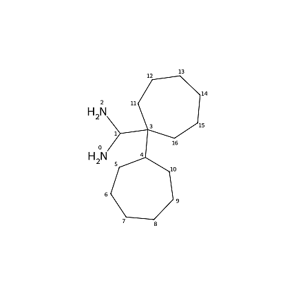 NC(N)C1(C2CCCCCC2)CCCCCC1